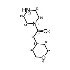 O=C(CC1CCOCC1)N1CCNCC1